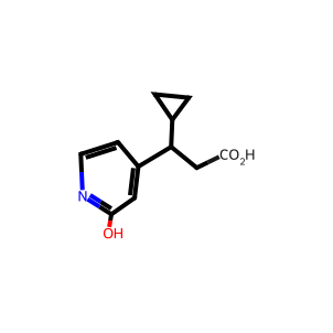 O=C(O)CC(c1ccnc(O)c1)C1CC1